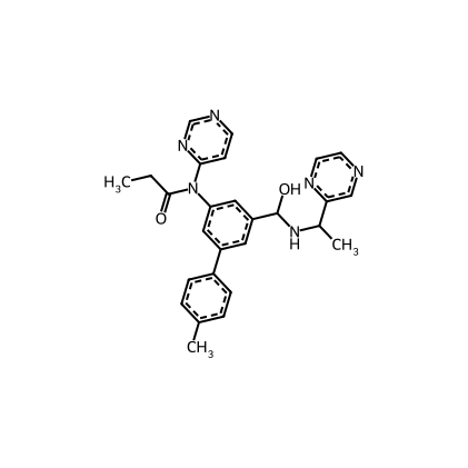 CCC(=O)N(c1cc(-c2ccc(C)cc2)cc(C(O)NC(C)c2cnccn2)c1)c1ccncn1